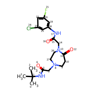 CC(C)(C)NC(=O)CN1CCC(=O)N(CC(=O)Nc2cc(F)cc(Cl)c2)CC1